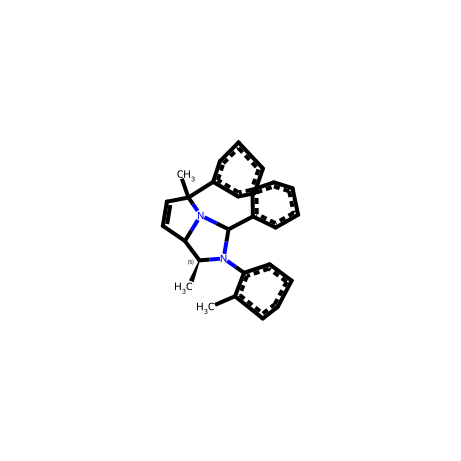 Cc1ccccc1N1C(c2ccccc2)N2C(C=CC2(C)c2ccccc2)[C@@H]1C